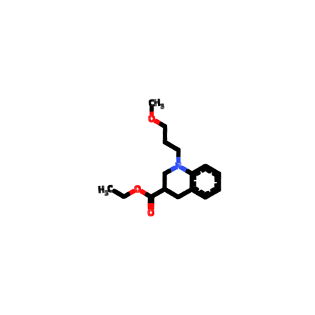 CCOC(=O)C1Cc2ccccc2N(CCCOC)C1